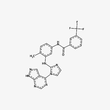 Cc1ccc(NC(=O)c2cccc(C(F)(F)F)c2)cc1Nc1nccn1-c1ncnc2[nH]ncc12